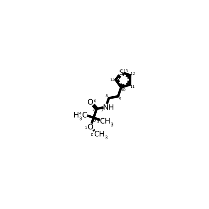 COC(C)(C)C(=O)NCCc1ccsc1